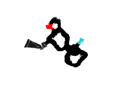 O=C(O)c1cc(-c2ccccc2F)cc2c1OCC2